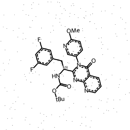 COc1ccc(-n2c([C@H](Cc3cc(F)cc(F)c3)NC(=O)OC(C)(C)C)nc3ncccc3c2=O)cn1